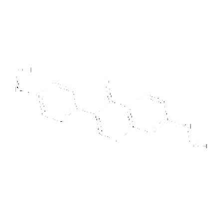 O=c1c(-c2ccc(NS(=O)(=O)O)cc2)coc2cc(NS(=O)(=O)O)ccc12